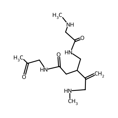 C=C(CNC)C(CNC(=O)CNC)CC(=O)NCC(C)=O